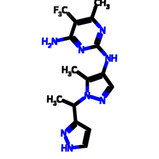 Cc1nc(Nc2cnn(C(C)c3cc[nH]n3)c2C)nc(N)c1C(F)(F)F